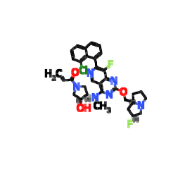 C=CC(=O)N1C[C@H](O)[C@@H](N(C)c2nc(OC[C@@]34CCCN3C[C@H](F)C4)nc3c(F)c(-c4cccc5cccc(Cl)c45)ncc23)C1